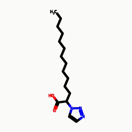 CCCCCCCCCCCCC(C(=O)O)n1ccnn1